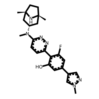 CN(c1ccc(-c2c(O)cc(-c3cnn(C)c3)cc2F)nn1)[C@@H]1C[C@]2(C)CC[C@](C)(C1)N2